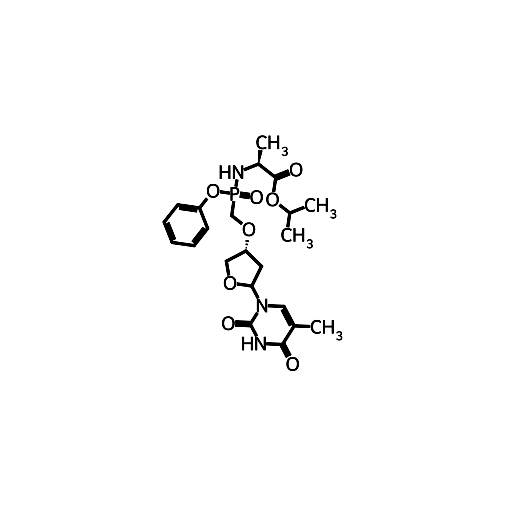 Cc1cn(C2C[C@@H](OCP(=O)(N[C@@H](C)C(=O)OC(C)C)Oc3ccccc3)CO2)c(=O)[nH]c1=O